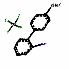 CCCCCCc1ccc(-c2ccccc2[IH+])cc1.F[B-](F)(F)F